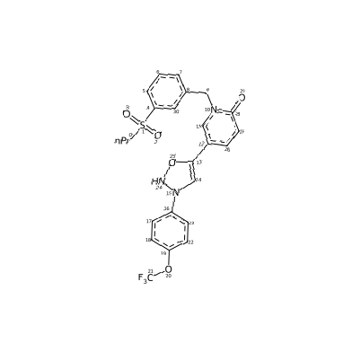 CCCS(=O)(=O)c1cccc(Cn2cc(C3=CN(c4ccc(OC(F)(F)F)cc4)NO3)ccc2=O)c1